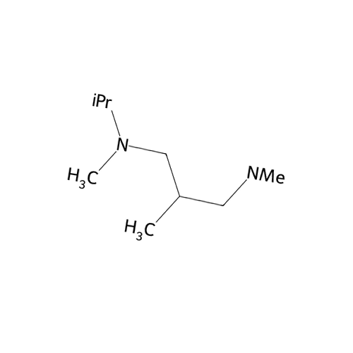 CNCC(C)CN(C)C(C)C